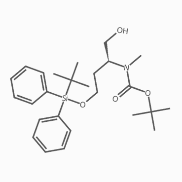 CN(C(=O)OC(C)(C)C)[C@H](CO)CCO[Si](c1ccccc1)(c1ccccc1)C(C)(C)C